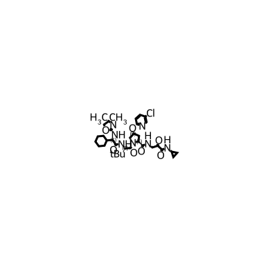 CC1(C)COC(N[C@H](C(=O)N[C@H](C(=O)N2C[C@H](Oc3ccc(Cl)cn3)C[C@H]2C(=O)NCC(=O)C(=O)NC2CC2)C(C)(C)C)C2CCCCC2)=N1